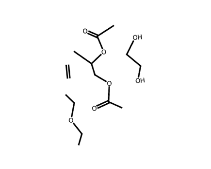 C=C.CC(=O)OCC(C)OC(C)=O.CCOCC.OCCO